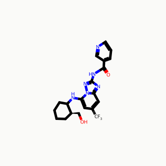 O=C(Nc1nc2cc(C(F)(F)F)cc(NC3CCCC[C@@H]3CO)n2n1)c1cccnc1